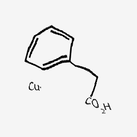 O=C(O)Cc1ccccc1.[Cu]